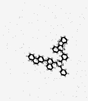 c1ccc(-c2nc(-c3cccc(-c4nc5c6ccccc6sc5c5ccccc45)c3)nc(-c3ccc(-c4ccc5c(ccc6ccccc65)c4)c4ccccc34)n2)cc1